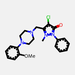 COc1ccccc1N1CCN(Cc2c(Cl)c(=O)n(-c3ccccc3)n2C)CC1